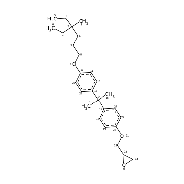 CCC(C)(CC)CCCOc1ccc(C(C)(C)c2ccc(OCC3CO3)cc2)cc1